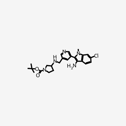 Cn1c(-c2cncc(CNC3CCN(C(=O)OC(C)(C)C)C3)c2)c(N)c2ccc(Cl)cc21